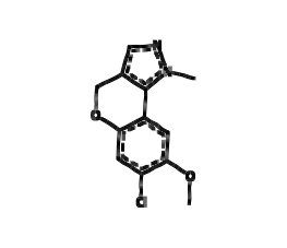 COc1cc2c(cc1Cl)OCc1cnn(C)c1-2